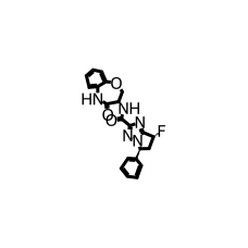 O=C(N[C@H]1COc2ccccc2NC1=O)c1nc2n(n1)[C@H](c1ccccc1)C[C@H]2F